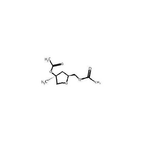 CC(=O)OC[C@@H]1C[C@](C)(OC(C)=O)CO1